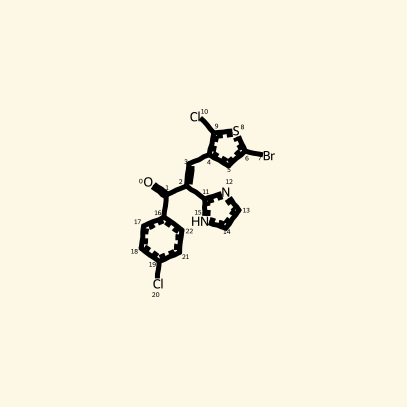 O=C(/C(=C/c1cc(Br)sc1Cl)c1ncc[nH]1)c1ccc(Cl)cc1